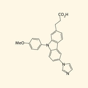 COc1ccc(-n2c3ccc(-n4ccnc4)cc3c3ccc(CCC(=O)O)cc32)cc1